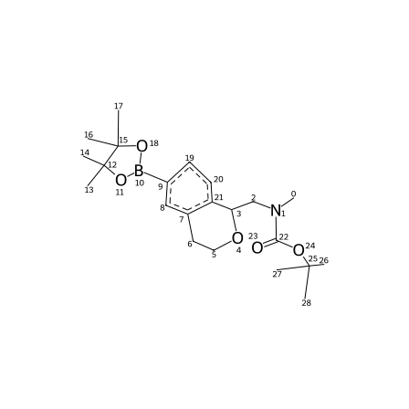 CN(CC1OCCc2cc(B3OC(C)(C)C(C)(C)O3)ccc21)C(=O)OC(C)(C)C